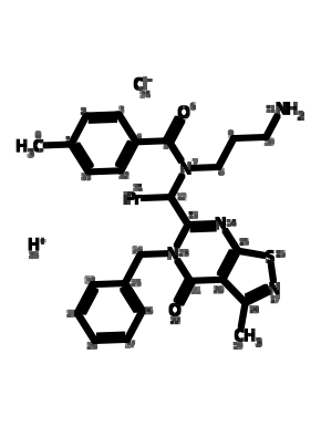 Cc1ccc(C(=O)N(CCCN)C(c2nc3snc(C)c3c(=O)n2Cc2ccccc2)C(C)C)cc1.[Cl-].[H+]